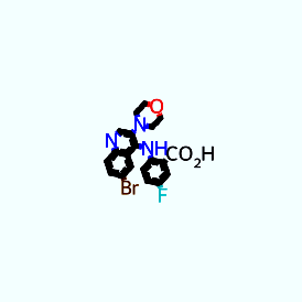 O=C(O)c1cc(F)ccc1Nc1c(N2CCOCC2)cnc2ccc(Br)cc12